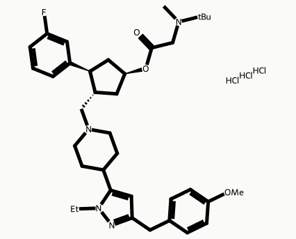 CCn1nc(Cc2ccc(OC)cc2)cc1C1CCN(C[C@H]2C[C@H](OC(=O)CN(C)C(C)(C)C)C[C@@H]2c2cccc(F)c2)CC1.Cl.Cl.Cl